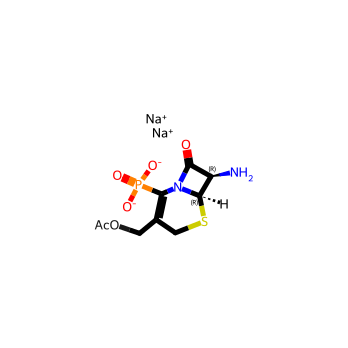 CC(=O)OCC1=C(P(=O)([O-])[O-])N2C(=O)[C@@H](N)[C@H]2SC1.[Na+].[Na+]